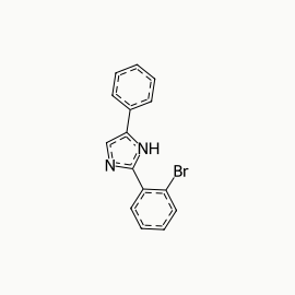 Brc1ccccc1-c1ncc(-c2ccccc2)[nH]1